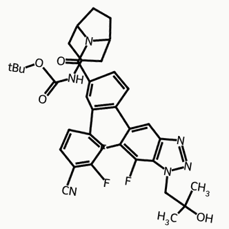 CC(C)(O)Cn1nnc2cc(-c3ccc(C(=O)N4C5CCC4CC(NC(=O)OC(C)(C)C)C5)cc3-c3ccc(C#N)c(F)c3)c(F)c(F)c21